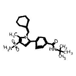 Cc1c(S(N)(=O)=O)cc(-c2ccc(C(=O)NC(C)(C)C)cc2)n1CC1CCCCC1